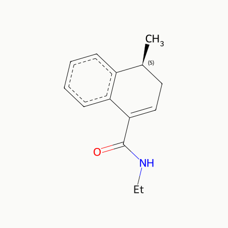 CCNC(=O)C1=CC[C@H](C)c2ccccc21